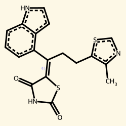 Cc1ncsc1CC/C(=C1\SC(=O)NC1=O)c1cccc2[nH]ccc12